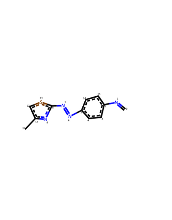 C=Nc1ccc(/N=N/c2nc(C)cs2)cc1